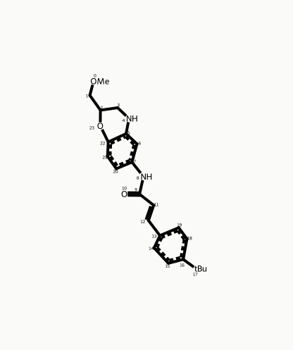 COCC1CNc2cc(NC(=O)/C=C/c3ccc(C(C)(C)C)cc3)ccc2O1